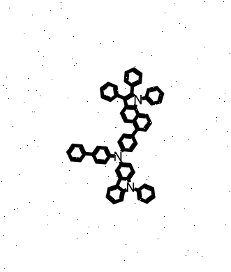 c1ccc(-c2ccc(N(c3ccc(-c4cccc5c4ccc4c(-c6ccccc6)c(-c6ccccc6)n(-c6ccccc6)c45)cc3)c3ccc4c(c3)c3ccccc3n4-c3ccccc3)cc2)cc1